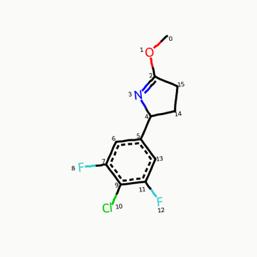 COC1=NC(c2cc(F)c(Cl)c(F)c2)CC1